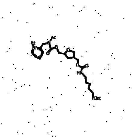 CCCCCCCCCCCCCCCNC(=O)OC[C@@H]1CO[C@H](COC(=O)N(Cc2cccc[n+]2CC)C(C)=O)C1